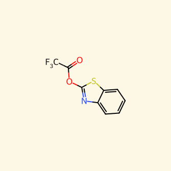 O=C(Oc1nc2ccccc2s1)C(F)(F)F